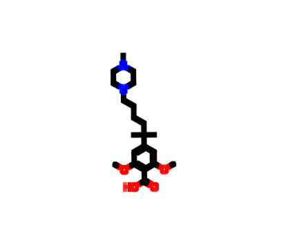 COc1cc(C(C)(C)CCCCN2CCN(C)CC2)cc(OC)c1C(=O)O